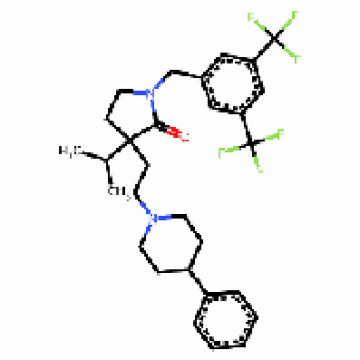 CC(C)C1(CCN2CCC(c3ccccc3)CC2)CCN(Cc2cc(C(F)(F)F)cc(C(F)(F)F)c2)C1=O